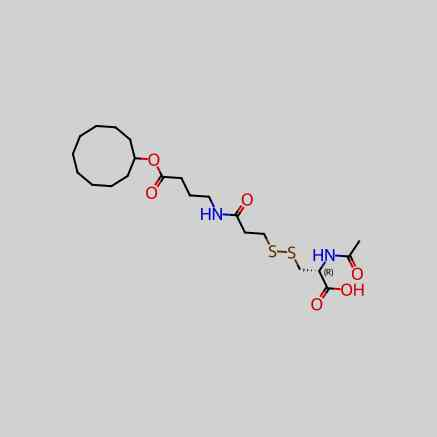 CC(=O)N[C@@H](CSSCCC(=O)NCCCC(=O)OC1CCCCCCCCC1)C(=O)O